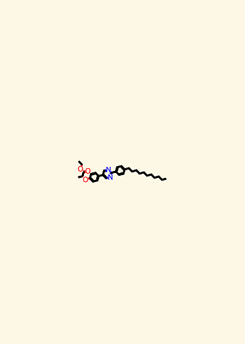 CCCCCCCCCCCc1ccc(-c2ncc(-c3ccc(OC(C)C(=O)OCC)cc3)cn2)cc1